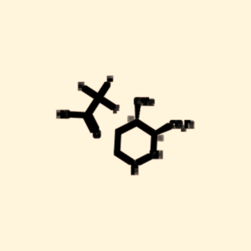 CCOC(=O)[C@H]1NNCC[C@@H]1OC.O=C(O)C(F)(F)F